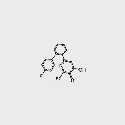 CC(=O)c1nn(-c2ccccc2-c2ccc(F)cc2)cc(O)c1=O